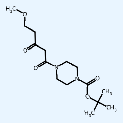 COCCC(=O)CC(=O)N1CCN(C(=O)OC(C)(C)C)CC1